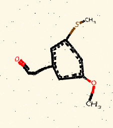 COc1cc(C=O)cc(SC)c1